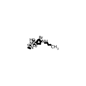 CCCCCNc1cc(F)c(S(=O)(=O)Nc2nccs2)cc1Br